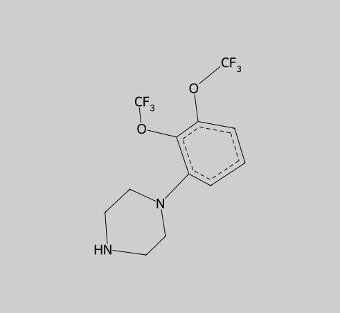 FC(F)(F)Oc1cccc(N2CCNCC2)c1OC(F)(F)F